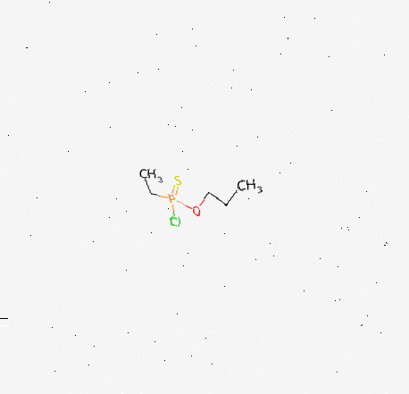 CCCOP(=S)(Cl)CC